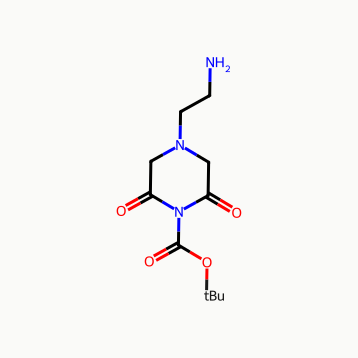 CC(C)(C)OC(=O)N1C(=O)CN(CCN)CC1=O